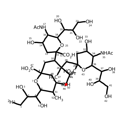 [2H]CC(O)C(O)C1OC(CC(C2(C(=O)O)CC(O)C(NC(C)=O)C(C(O)C(O)CO)O2)C(C)(CC2(C(=O)O)CC(O)C(NC(C)=O)C(C(O)C(O)CO)O2)C(C(C)C)C(C)C)(C(=O)O)CC(O)C1C